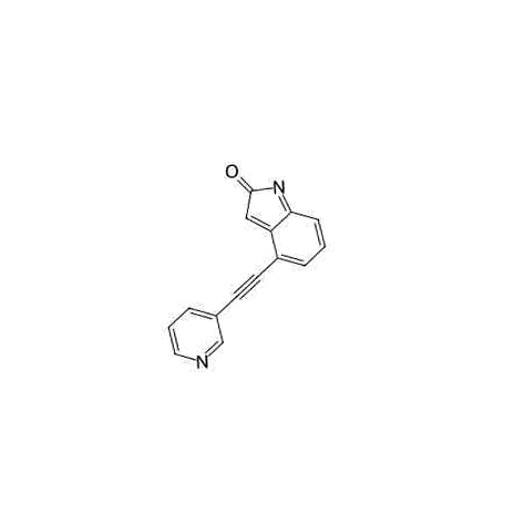 O=C1C=c2c(C#Cc3cccnc3)cccc2=N1